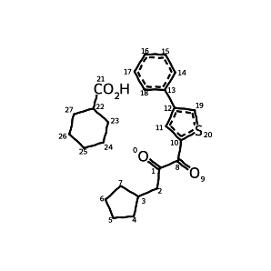 O=C(CC1CCCC1)C(=O)c1cc(-c2ccccc2)cs1.O=C(O)C1CCCCC1